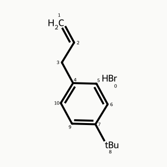 Br.C=CCc1ccc(C(C)(C)C)cc1